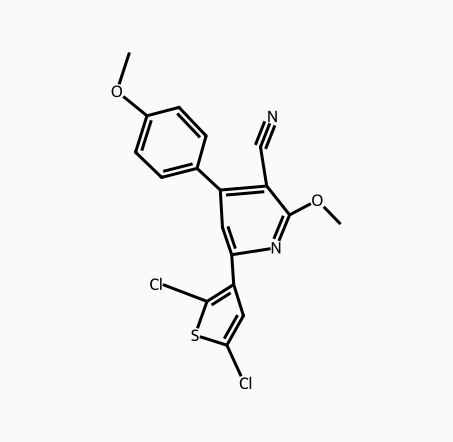 COc1ccc(-c2cc(-c3cc(Cl)sc3Cl)nc(OC)c2C#N)cc1